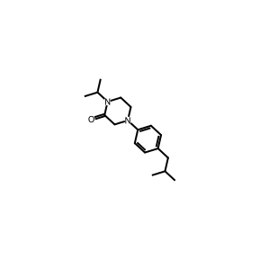 CC(C)Cc1ccc(N2CCN(C(C)C)C(=O)C2)cc1